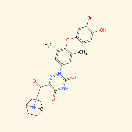 Cc1cc(-n2nc(C(=O)N3CC4CCC(CC4)C3)c(=O)[nH]c2=O)cc(C)c1Oc1ccc(O)c(Br)c1